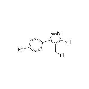 CCc1ccc(-c2snc(Cl)c2CCl)cc1